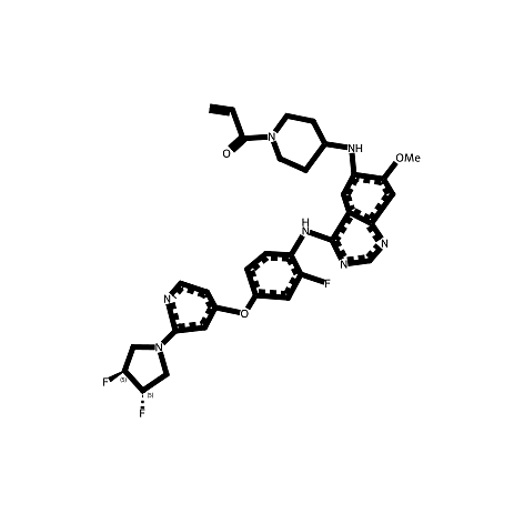 C=CC(=O)N1CCC(Nc2cc3c(Nc4ccc(Oc5ccnc(N6C[C@H](F)[C@@H](F)C6)c5)cc4F)ncnc3cc2OC)CC1